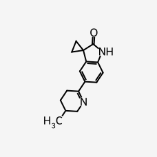 CC1CCC(c2ccc3c(c2)C2(CC2)C(=O)N3)=NC1